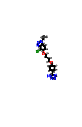 CC(C)(C)Cn1nnc2c(Br)c(OCCCCOc3ccc(-c4nnn[nH]4)cc3)ccc21